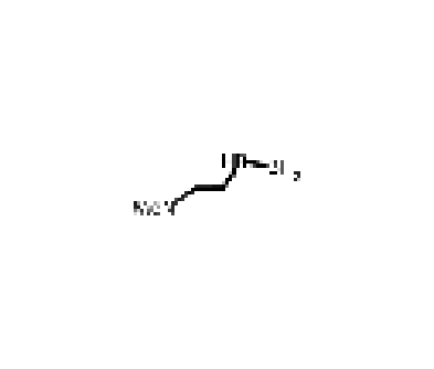 BBCCNC